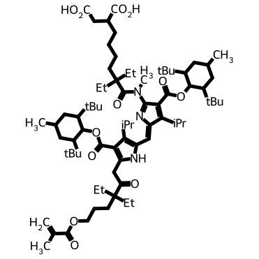 C=C(C)C(=O)OCCCC(CC)(CC)C(=O)Cc1[nH]c(/C=C2\N=C(N(C)C(=O)C(CC)(CC)CCCCC(CC(=O)O)C(=O)O)C(C(=O)OC3C(C(C)(C)C)CC(C)CC3C(C)(C)C)=C2C(C)C)c(C(C)C)c1C(=O)OC1C(C(C)(C)C)CC(C)CC1C(C)(C)C